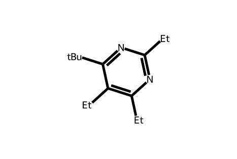 CCc1nc(CC)c(CC)c(C(C)(C)C)n1